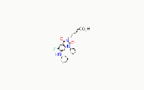 O=C(O)C=CCCCn1c(=O)c2cc(F)c(NC3CCCCC3)cc2n(C2CCCC2)c1=O